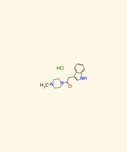 CN1CCN(C(=O)Cc2c[nH]c3ccccc23)CC1.Cl